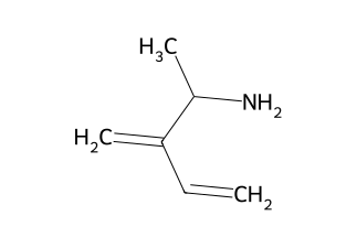 C=CC(=C)C(C)N